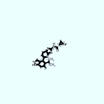 CC(C)c1c(F)cc2[nH]ncc2c1-c1ccc2nc(NC(=O)[C@@H]3C[C@@H]3F)sc2n1